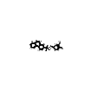 CC1C2CC(COC(C)(C)c3ccc4c(ccc5ccccc54)c3)C(C2)C1C